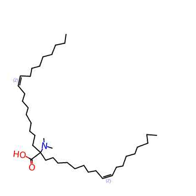 CCCCCCCC/C=C\CCCCCCCCC(CCCCCCCC/C=C\CCCCCCCC)(C(=O)O)N(C)C